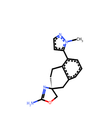 Cn1nccc1-c1cccc2c1CC[C@@]1(COC(N)=N1)C2